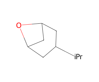 CC(C)C1CC2CC(C1)O2